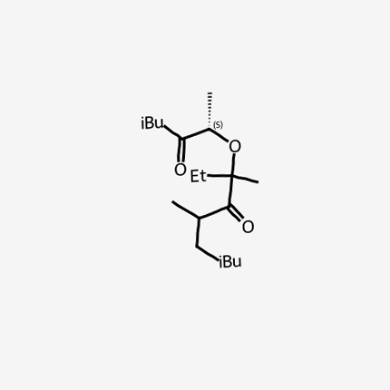 CCC(C)CC(C)C(=O)C(C)(CC)O[C@@H](C)C(=O)C(C)CC